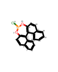 Clp1oc2ccc3ccccc3c2c2c(ccc3ccccc32)o1